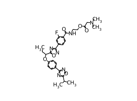 CCC(Oc1ccc(-c2noc(C(C)C)n2)cc1)c1nc(-c2ccc(C(=O)NCCOC(=O)CN(C)C)c(F)c2)no1